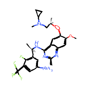 COc1cc2nc(C)nc(N[C@H](C)c3cc(N)cc(C(F)(F)F)c3F)c2cc1O[C@@H](C)CN(C)C1CC1